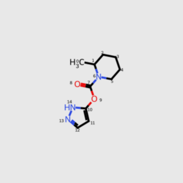 CC1CCCCN1C(=O)Oc1ccn[nH]1